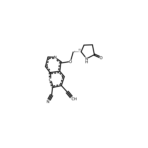 C#Cc1cc2c(OC[C@@H]3CCC(=O)N3)nccc2cc1C#N